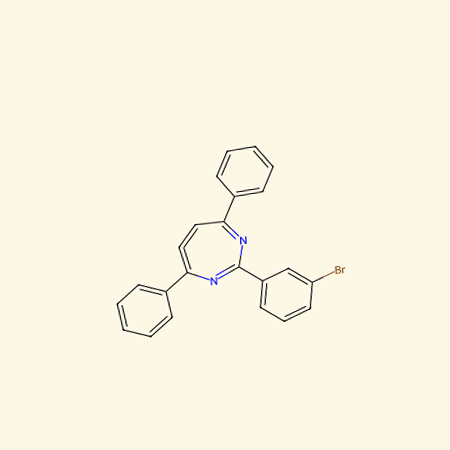 Brc1cccc(C2=NC(c3ccccc3)=C=CC(c3ccccc3)=N2)c1